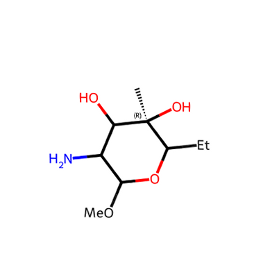 CCC1OC(OC)C(N)C(O)[C@@]1(C)O